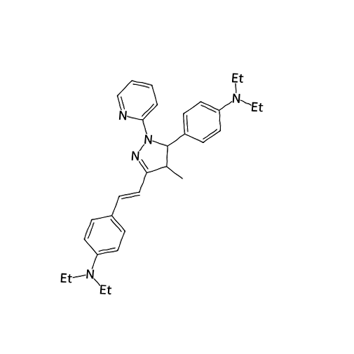 CCN(CC)c1ccc(C=CC2=NN(c3ccccn3)C(c3ccc(N(CC)CC)cc3)C2C)cc1